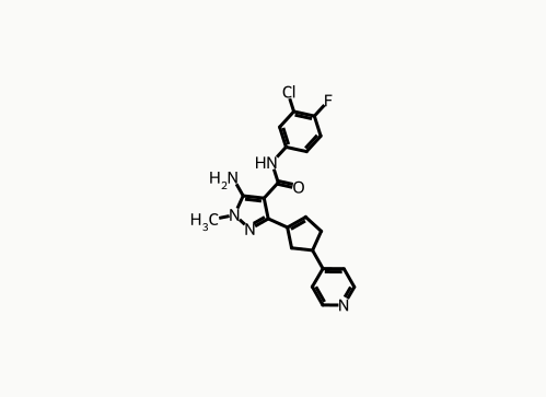 Cn1nc(C2=CCC(c3ccncc3)C2)c(C(=O)Nc2ccc(F)c(Cl)c2)c1N